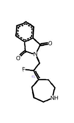 O=C1c2ccccc2C(=O)N1C/C(F)=C1/CCCNCC1